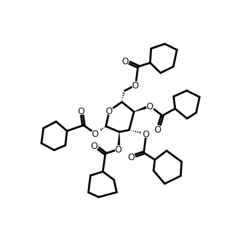 O=C(OC[C@H]1O[C@@H](OC(=O)C2CCCCC2)[C@H](OC(=O)C2CCCCC2)[C@@H](OC(=O)C2CCCCC2)[C@@H]1OC(=O)C1CCCCC1)C1CCCCC1